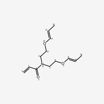 C=CC(=O)N(CCOC=CC)CCOC=CC